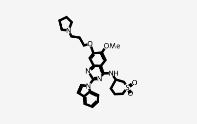 COc1cc2c(NC3CCCS(=O)(=O)C3)nc(-n3ccc4ccccc43)nc2cc1OCCCN1CCCC1